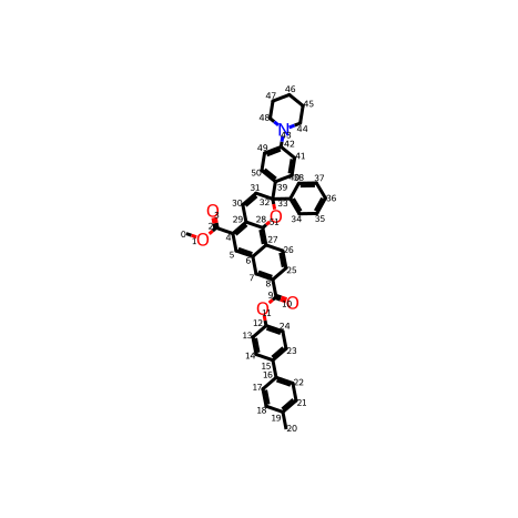 COC(=O)c1cc2cc(C(=O)Oc3ccc(-c4ccc(C)cc4)cc3)ccc2c2c1C=CC(c1ccccc1)(c1ccc(N3CCCCC3)cc1)O2